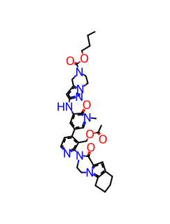 CCCCOC(=O)N1CCn2nc(Nc3cc(-c4ccnc(N5CCn6c(cc7c6CCCC7)C5=O)c4COC(C)=O)cn(C)c3=O)cc2C1